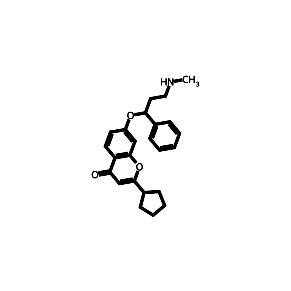 CNCCC(Oc1ccc2c(=O)cc(C3CCCC3)oc2c1)c1ccccc1